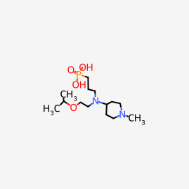 CC(C)OCCN(CCCP(=O)(O)O)C1CCN(C)CC1